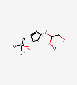 CCOC(CBr)O[C@H]1C=C[C@@H](O[Si](C)(C)C(C)(C)C)C1